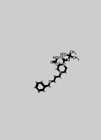 CC(C)(C)OC(=O)N1CCN(CCCOCc2ccccc2)C[C@@H]1C(=O)O